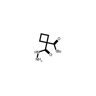 CC(C)(C)C(=O)C1(C(=O)NN)CCC1